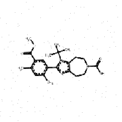 COC(=O)c1cc(-c2nc3c(n2C(C)(C)C)CCN(C(=O)O)CC3)c(C)cc1C